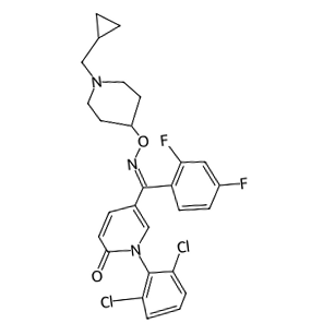 O=c1ccc(C(=NOC2CCN(CC3CC3)CC2)c2ccc(F)cc2F)cn1-c1c(Cl)cccc1Cl